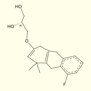 CC1(C)C=C(OC[C@H](O)CO)CC2=C1Cc1c(F)cccc1C2